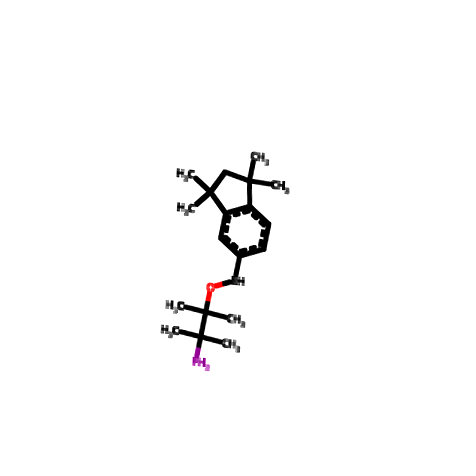 CC1(C)CC(C)(C)c2cc(BOC(C)(C)C(C)(C)P)ccc21